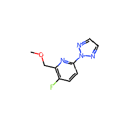 COCc1nc(-n2nccn2)ccc1F